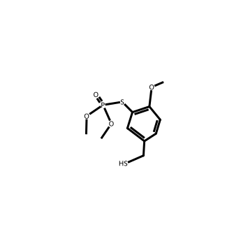 COc1ccc(CS)cc1SP(=O)(OC)OC